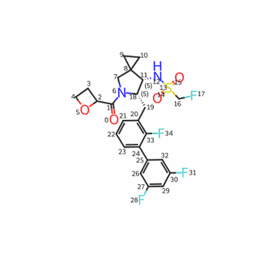 O=C(C1CCO1)N1CC2(CC2)[C@H](NS(=O)(=O)CF)[C@@H]1Cc1cccc(-c2cc(F)cc(F)c2)c1F